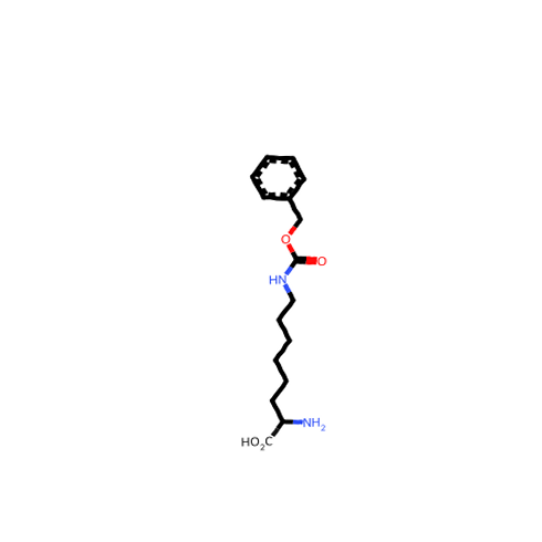 NC(CCCCCCNC(=O)OCc1ccccc1)C(=O)O